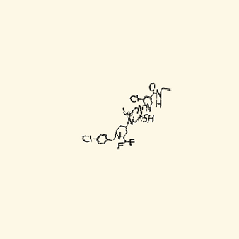 CCNC(=O)c1cnc(N2C[C@H](CC)N(C3CCN(Cc4ccc(Cl)cc4)C(C(F)F)C3)C[C@H]2S)c(Cl)c1